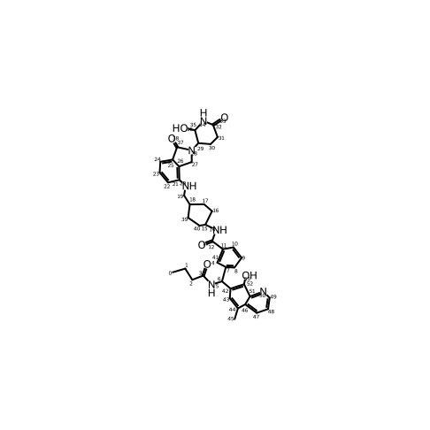 CCCC(=O)NC(c1cccc(C(=O)NC2CCC(CNc3cccc4c3CN(C3CCC(=O)NC3O)C4=O)CC2)c1)c1cc(C)c2cccnc2c1O